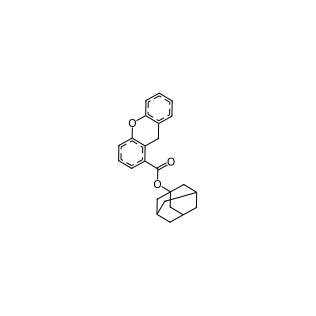 O=C(OC12CC3CC(CC(C3)C1)C2)c1cccc2c1Cc1ccccc1O2